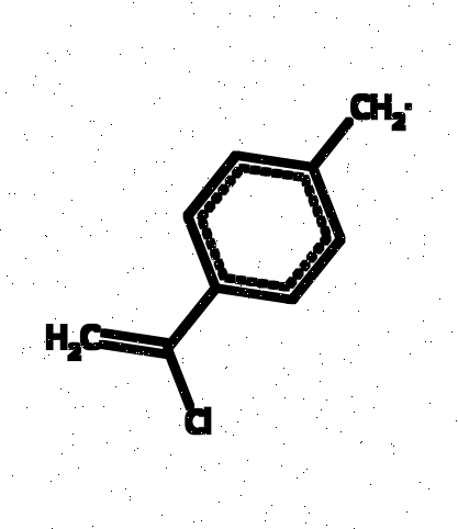 [CH2]c1ccc(C(=C)Cl)cc1